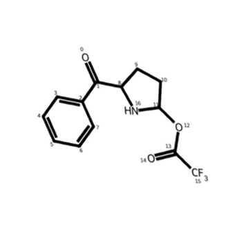 O=C(c1ccccc1)C1CCC(OC(=O)C(F)(F)F)N1